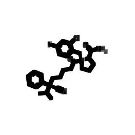 CC(C)[C@@](C#N)(CCCCC(=O)[N@@+]1(Cc2ccc(F)cc2Cl)CCCC1C(N)=O)c1ccccc1